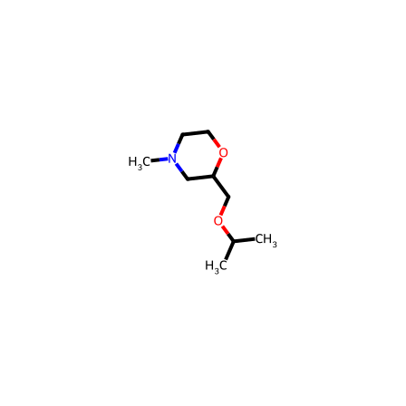 CC(C)OCC1CN(C)CCO1